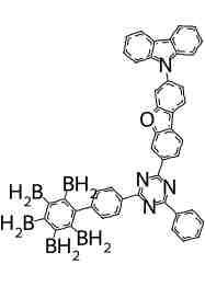 Bc1c(B)c(B)c(-c2ccc(-c3nc(-c4ccccc4)nc(-c4ccc5c(c4)oc4cc(-n6c7ccccc7c7ccccc76)ccc45)n3)cc2)c(B)c1B